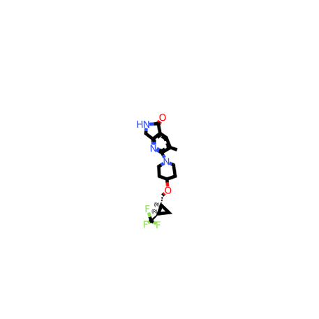 Cc1cc2c(nc1N1CCC(OC[C@@H]3C[C@H]3C(F)(F)F)CC1)CNC2=O